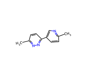 Cc1ccc(-c2ccc(C)nn2)cn1